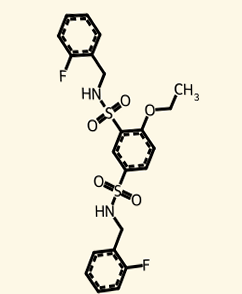 CCOc1ccc(S(=O)(=O)NCc2ccccc2F)cc1S(=O)(=O)NCc1ccccc1F